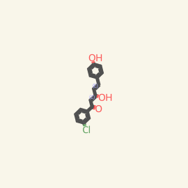 O=C(/C=C(O)/C=C/c1ccc(O)cc1)c1cccc(Cl)c1